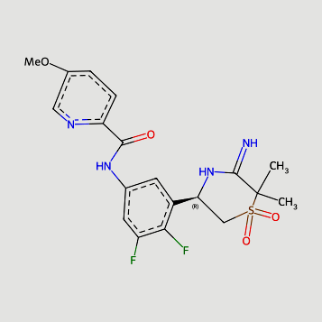 COc1ccc(C(=O)Nc2cc(F)c(F)c([C@@H]3CS(=O)(=O)C(C)(C)C(=N)N3)c2)nc1